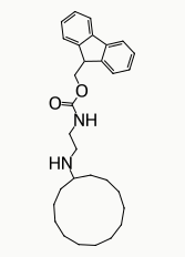 O=C(NCCNC1CCCCCCCCCCCC1)OCC1c2ccccc2-c2ccccc21